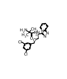 CC(C)(N)C(=O)N[C@H](COCc1cc(Cl)cc(Cl)c1)c1nnc2ccccn12